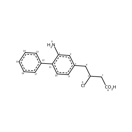 Nc1cc(CC(Cl)CC(=O)O)ccc1-c1ccccc1